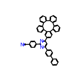 N#Cc1ccc(-c2nc(-c3ccc(-c4ccccc4)cc3)cc(-c3ccc4c5ccccc5c5ccccc5c5ccccc5c5ccccc5c4c3)n2)cc1